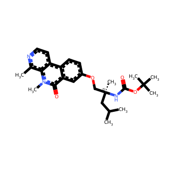 Cc1nccc2c3ccc(OC[C@](C)(CC(C)C)NC(=O)OC(C)(C)C)cc3c(=O)n(C)c12